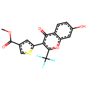 COC(=O)c1csc(-c2c(C(F)(F)F)oc3cc(O)ccc3c2=O)c1